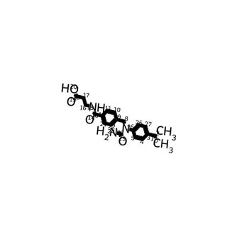 CC(C)c1ccc(N(Cc2ccc(C(=O)NCCC(=O)O)cc2)C(N)=O)cc1